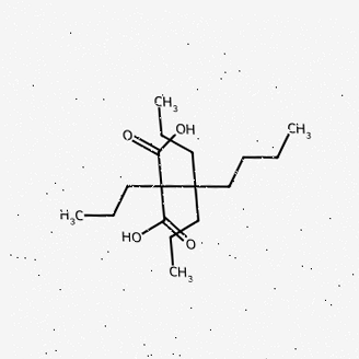 CCCCC(CCC)(CCC)C(CCC)(C(=O)O)C(=O)O